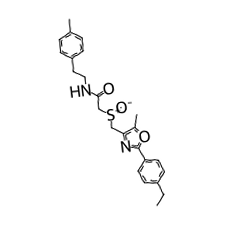 CCc1ccc(-c2nc(C[S+]([O-])CC(=O)NCCc3ccc(C)cc3)c(C)o2)cc1